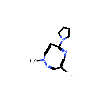 Cc1cnc(N2CCCC2)ccn(C)nc1